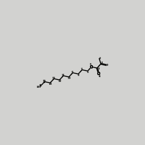 C=C(C)C(=O)OCCCCCCCCC[CH]F